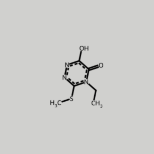 CCn1c(SC)nnc(O)c1=O